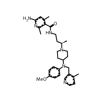 COc1ccc(N(Cc2cnccc2C)C2CCN([C@H](C)CCNC(=O)c3c(C)cc(N)nc3C)CC2)cc1